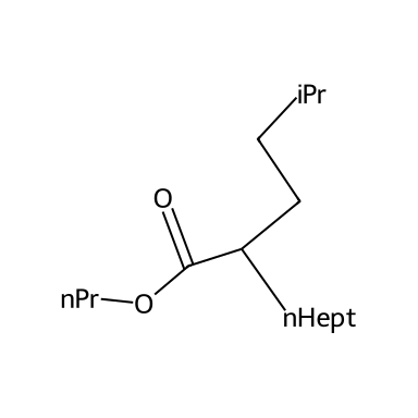 CCCCCCCC(CCC(C)C)C(=O)OCCC